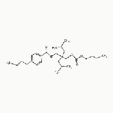 CCCCOC(=O)OCC(COC(=O)c1ccc(CCCC)cc1)(CC(C)C)CC(C)C